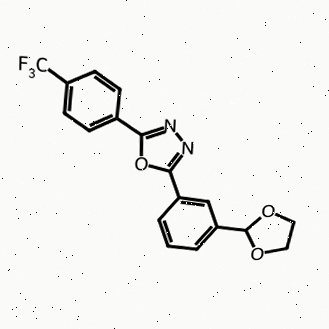 FC(F)(F)c1ccc(-c2nnc(-c3cccc(C4OCCO4)c3)o2)cc1